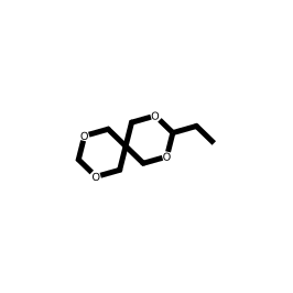 CCC1OCC2(COCOC2)CO1